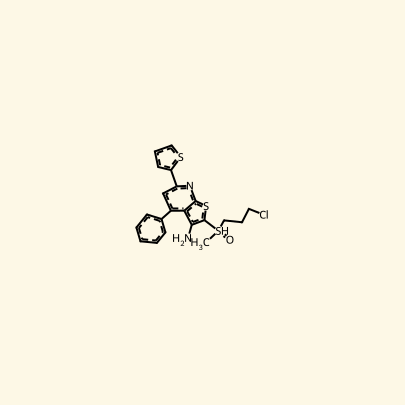 C[SH](=O)(CCCCl)c1sc2nc(-c3cccs3)cc(-c3ccccc3)c2c1N